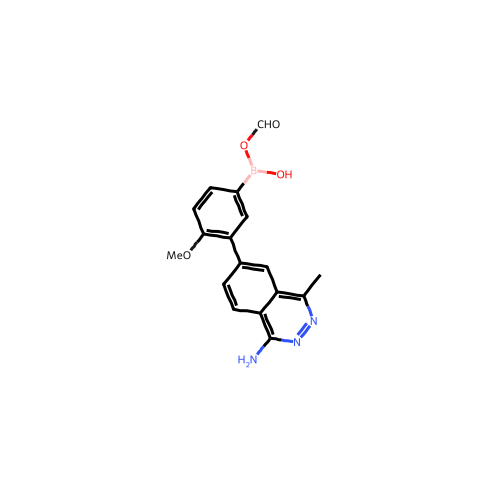 COc1ccc(B(O)OC=O)cc1-c1ccc2c(N)nnc(C)c2c1